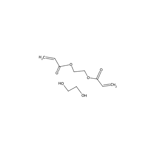 C=CC(=O)OCCOC(=O)C=C.OCCO